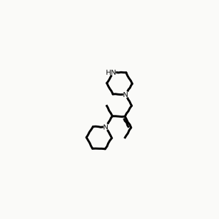 CC=C(CN1CCNCC1)C(C)N1CCCCC1